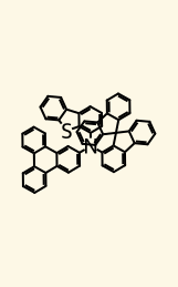 c1ccc2c(c1)-c1ccccc1C21c2ccccc2-c2cccc(N(c3ccc4c5ccccc5c5ccccc5c4c3)c3cccc4c3sc3ccccc34)c21